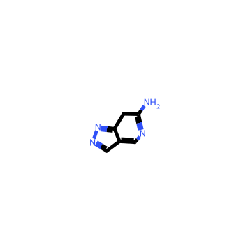 NC1=NC=C2C=NN=C2C1